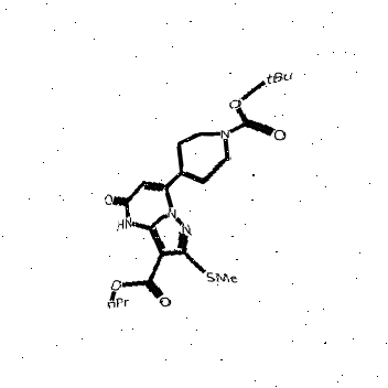 CCCOC(=O)c1c(SC)nn2c(C3CCN(C(=O)OC(C)(C)C)CC3)cc(=O)[nH]c12